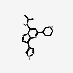 CC(C)Nc1cc(C2CCCNC2)nc2c(-c3cn[nH]c3)cnn12